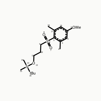 COc1cc(C)c(S(=O)(=O)CCCO[Si](C)(C)C(C)(C)C)c(C)c1